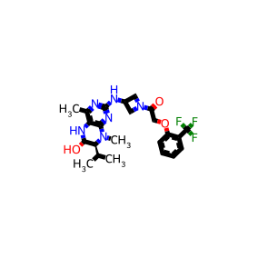 Cc1nc(NC2CN(C(=O)COc3ccccc3C(F)(F)F)C2)nc2c1NC(O)[C@H](C(C)C)N2C